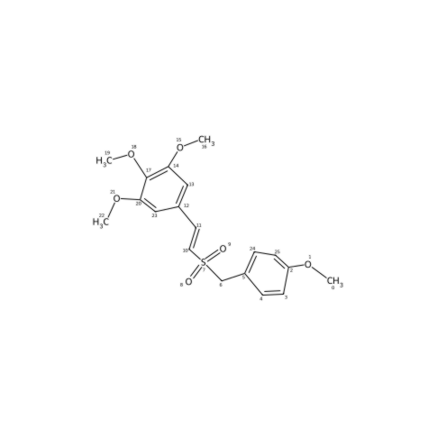 COc1ccc(CS(=O)(=O)C=Cc2cc(OC)c(OC)c(OC)c2)cc1